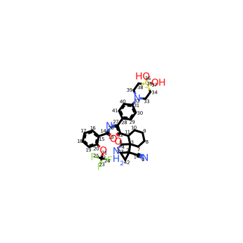 N#CC1(C2(C(N)=O)CCCCC2c2oc(-c3ccccc3OC(F)(F)F)nc2-c2ccc(N3CCS(O)(O)CC3)cc2)CC1